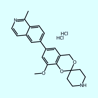 COc1cc(-c2ccc3c(C)nccc3c2)cc2c1OC1(CCNCC1)OC2.Cl.Cl